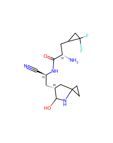 N#C[C@H](C[C@@H]1CC2(CC2)NC1O)NC(=O)[C@@H](N)CC1CC1(F)F